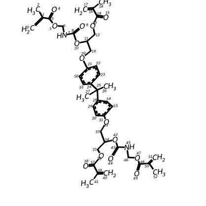 C=C(C)C(=O)OCNC(=O)OC(COC(=O)C(=C)C)COc1ccc(C(C)(C)c2ccc(OCC(COC(=O)C(=C)C)OC(=O)NCOC(=O)C(=C)C)cc2)cc1